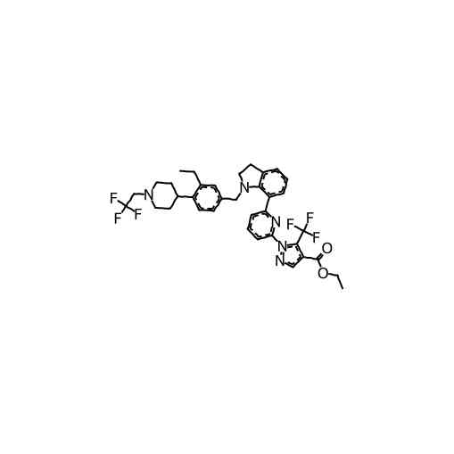 CCOC(=O)c1cnn(-c2cccc(-c3cccc4c3N(Cc3ccc(C5CCN(CC(F)(F)F)CC5)c(CC)c3)CC4)n2)c1C(F)(F)F